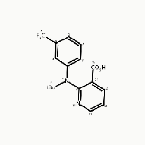 CC(C)(C)N(c1cccc(C(F)(F)F)c1)c1ncccc1C(=O)O